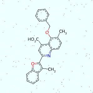 Cc1ccc2nc(-c3oc4ccccc4c3C)cc(C(=O)O)c2c1OCc1ccccc1